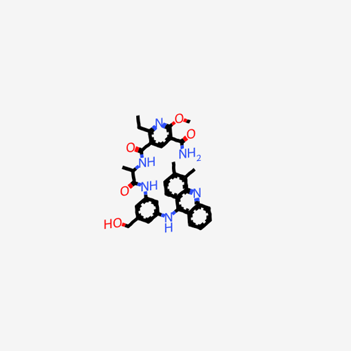 CCc1nc(OC)c(C(N)=O)cc1C(=O)NC(C)C(=O)Nc1cc(CO)cc(Nc2c3ccccc3nc3c(C)c(C)ccc23)c1